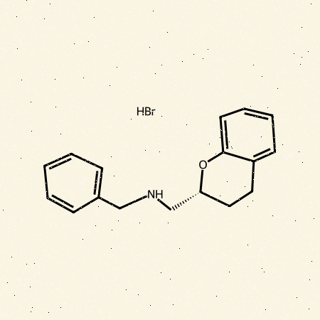 Br.c1ccc(CNC[C@H]2CCc3ccccc3O2)cc1